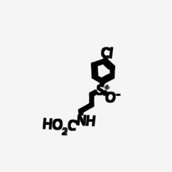 O=C(O)NCCC[S+]([O-])c1ccc(Cl)cc1